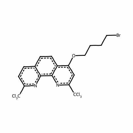 ClC(Cl)(Cl)c1ccc2ccc3c(OCCCCBr)cc(C(Cl)(Cl)Cl)nc3c2n1